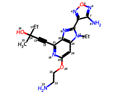 CCn1c(-c2nonc2N)nc2c(C#CC(C)(O)CC)nc(OCCN)cc21